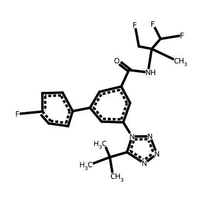 CC(C)(C)c1nnnn1-c1cc(C(=O)NC(C)(CF)C(F)F)cc(-c2ccc(F)cc2)c1